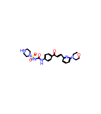 O=C(Nc1ccc(C(=O)C=Cc2cccc(N3CCOCC3)n2)cc1)NS(=O)(=O)N1CCNCC1